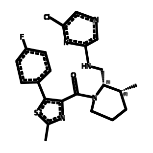 Cc1nc(C(=O)N2CCC[C@@H](C)[C@H]2CNc2cncc(Cl)n2)c(-c2ccc(F)cc2)s1